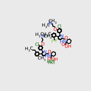 CCCc1ccc(C)c(-c2ccc(C(=O)NC3(C(=O)O)CCCCC3)nc2-c2ccc(Cl)c(OCCCN(C)C)c2)c1.Cc1ccc(-c2ccc(C(=O)NC3(C(=O)O)CCCCC3)nc2-c2ccc(Cl)c(OCCCN(C)C)c2)c(C(F)F)c1.Cl.Cl